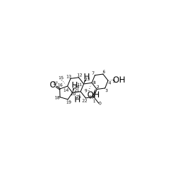 CC1=C2C[C@@H](O)CC[C@]2(CO)[C@H]2CC[C@]3(C)C(=O)CC[C@H]3[C@@H]2C1